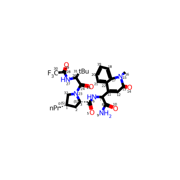 CCC[C@H]1C[C@@H](C(=O)NC(C(N)=O)c2cc(=O)n(C)c3ccccc23)N(C(=O)C(NC(=O)C(F)(F)F)C(C)(C)C)C1